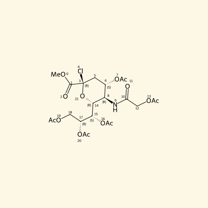 COC(=O)[C@]1(Cl)C[C@H](OC(C)=O)[C@@H](NC(=O)COC(C)=O)[C@H]([C@H](OC(C)=O)[C@@H](COC(C)=O)OC(C)=O)O1